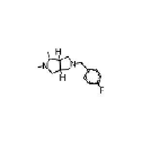 C[C@H]1[C@@H]2CN(Cc3ccc(F)cc3)C[C@@H]2CN1C